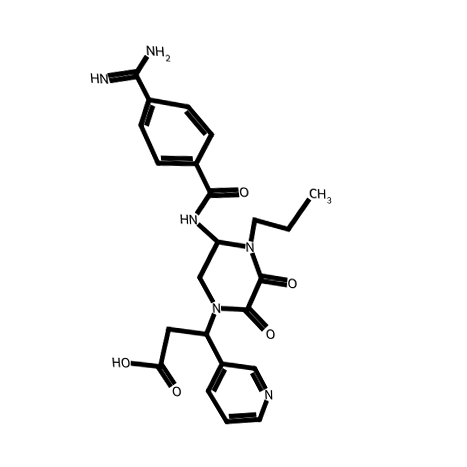 CCCN1C(=O)C(=O)N(C(CC(=O)O)c2cccnc2)CC1NC(=O)c1ccc(C(=N)N)cc1